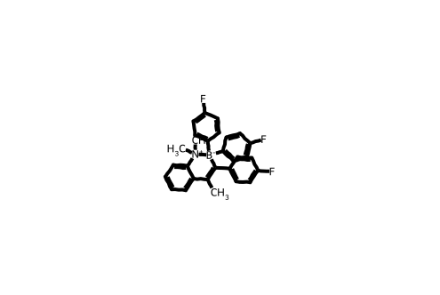 CC1=C(c2ccc(F)cc2)[B-](c2ccc(F)cc2)(c2ccc(F)cc2)[N+](C)(C)c2ccccc21